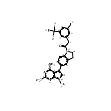 Cc1nc(N)c2c(-c3ccc4c(c3)CCN4C(=O)Cc3cc(F)cc(C(F)(F)F)c3)cn(C)c2n1